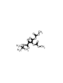 COC(=O)Oc1onc(C(=O)NC(C)(C)C)c1OC(=O)OC